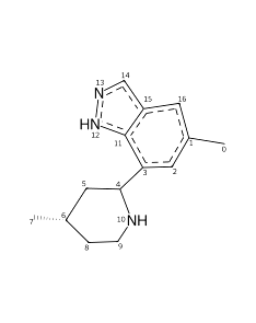 Cc1cc(C2C[C@@H](C)CCN2)c2[nH]ncc2c1